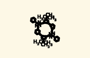 CC(C)(C)c1cc2cc(c1)c1nc(-c3ccccc3)nc(n1)c1cccc(c1)c1cc(C(C)(C)C)cc(c1)c1nc(-c3ccccc3)nc(n1)c1cccc2c1